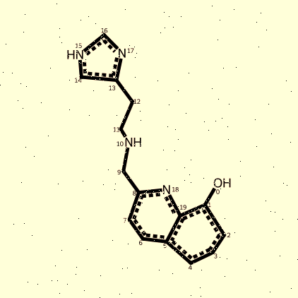 Oc1cccc2ccc(CNCCc3c[nH]cn3)nc12